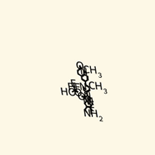 Cc1cc(-n2cnn(CC(CN)=C(F)F)c2=O)cnc1-c1ccc2c(c1)CCC(=O)N2C.O=C(O)C(F)(F)F